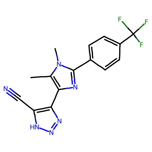 Cc1c(-c2nn[nH]c2C#N)nc(-c2ccc(C(F)(F)F)cc2)n1C